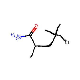 CCC(C)(C)CC(C)C(N)=O